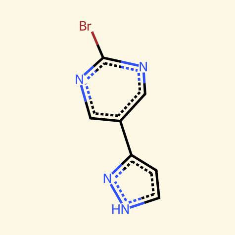 Brc1ncc(-c2cc[nH]n2)cn1